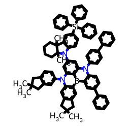 CC1(C)Cc2ccc(N3c4cc5c(cc4B4c6cc(-c7ccccc7)ccc6N(c6ccc(-c7ccccc7)cc6)c6cc(N7c8ccc([Si](c9ccccc9)(c9ccccc9)c9ccccc9)cc8C8(C)CCCCC78C)cc3c64)CC(C)(C)C5)cc2C1